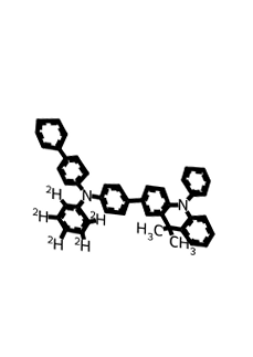 [2H]c1c([2H])c([2H])c(N(c2ccc(-c3ccccc3)cc2)c2ccc(-c3ccc4c(c3)C(C)(C)c3ccccc3N4c3ccccc3)cc2)c([2H])c1[2H]